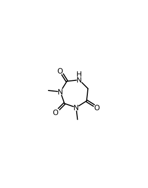 CN1C(=O)CNC(=O)N(C)C1=O